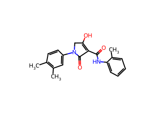 Cc1ccc(N2CC(O)=C(C(=O)Nc3ccccc3C)C2=O)cc1C